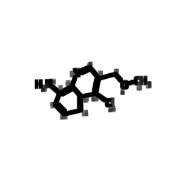 COCc1cnc2c(N)cccc2c1Cl